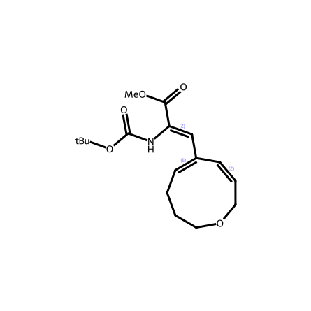 COC(=O)/C(=C/C1=C/CCCOC/C=C\1)NC(=O)OC(C)(C)C